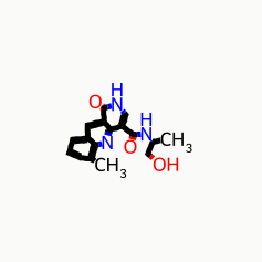 Cc1cccc2cc3c(=O)[nH]cc(C(=O)NC(C)CO)c3nc12